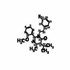 COc1ccccc1-c1nc(C)c(C(C)C)c(=O)n1CCc1cccc(F)c1